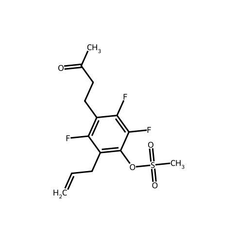 C=CCc1c(F)c(CCC(C)=O)c(F)c(F)c1OS(C)(=O)=O